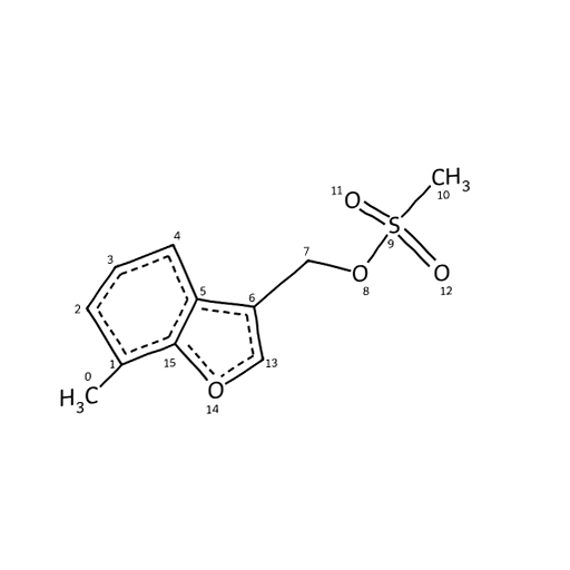 Cc1cccc2c(COS(C)(=O)=O)coc12